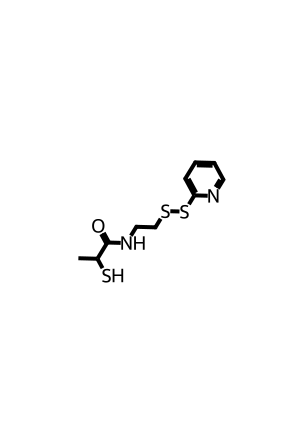 CC(S)C(=O)NCCSSc1ccccn1